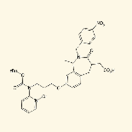 CC1c2cc(OCCCN(C(=O)OC(C)(C)C)c3cccc[n+]3[O-])ccc2CC(CC(=O)O)C(=O)N1Cc1ccc([N+](=O)[O-])cc1